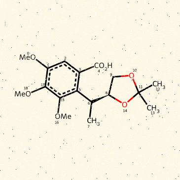 COc1cc(C(=O)O)c(C(C)[C@H]2COC(C)(C)O2)c(OC)c1OC